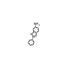 Nc1ccc2[c]n(-c3ccccc3)nc2c1